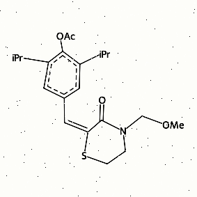 COCN1CCS/C(=C/c2cc(C(C)C)c(OC(C)=O)c(C(C)C)c2)C1=O